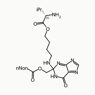 CCCCCCCCCC(=O)OCC1(NCCCCOC(=O)[C@@H](N)C(C)C)N=C2N=CN=C2C(=O)N1